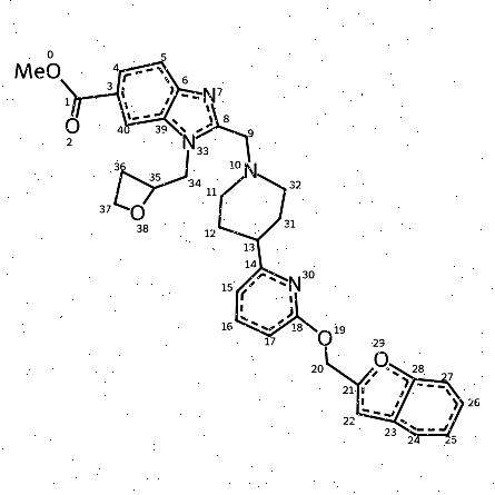 COC(=O)c1ccc2nc(CN3CCC(c4cccc(OCc5cc6ccccc6o5)n4)CC3)n(CC3CCO3)c2c1